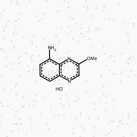 COc1cnc2cccc(N)c2n1.Cl